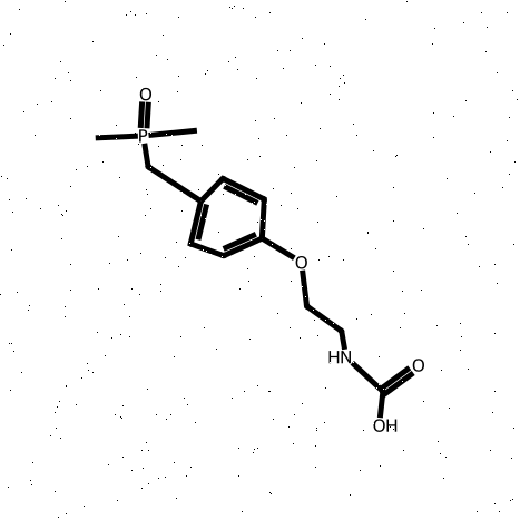 CP(C)(=O)Cc1ccc(OCCNC(=O)O)cc1